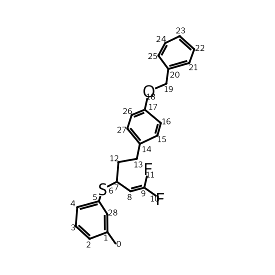 Cc1cccc(SC(C=C(F)F)CCc2ccc(OCc3ccccc3)cc2)c1